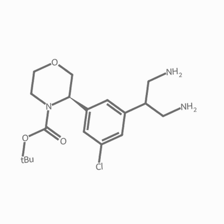 CC(C)(C)OC(=O)N1CCOC[C@H]1c1cc(Cl)cc(C(CN)CN)c1